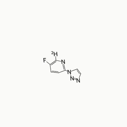 [2H]c1nc(-n2ccnn2)ccc1F